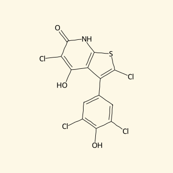 O=c1[nH]c2sc(Cl)c(-c3cc(Cl)c(O)c(Cl)c3)c2c(O)c1Cl